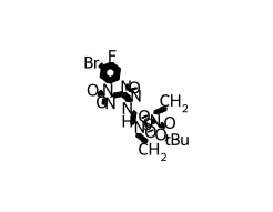 C=CCN(CCNc1nonc1-c1noc(=O)n1-c1ccc(F)c(Br)c1)S(=O)(=O)N(CC=C)C(=O)OC(C)(C)C